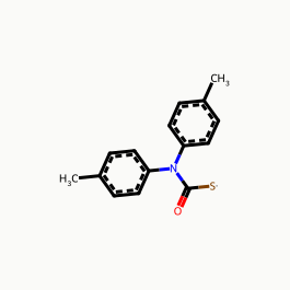 Cc1ccc(N(C(=O)[S])c2ccc(C)cc2)cc1